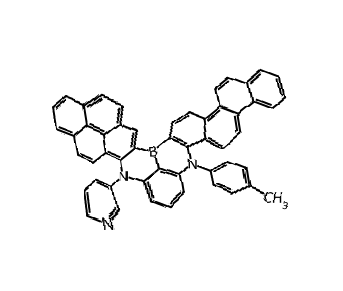 Cc1ccc(N2c3cccc4c3B(c3ccc5c(ccc6c7ccccc7ccc56)c32)c2cc3ccc5cccc6ccc(c2N4c2cccnc2)c3c56)cc1